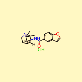 CC1(C)[C@H](NC(=O)c2ccc3occc3c2)C2CCN1CC2.Cl